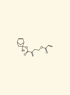 C=CC(=O)OCCC(=C)C(=O)OC1(C(C)C)CC2C=CC1C2